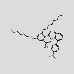 CCCCCCCCc1cc(CCCCCCCC)c(C(=O)On2c(-c3ccc(N(C)C)cc3)cccc2=O)c(C(=O)O)c1